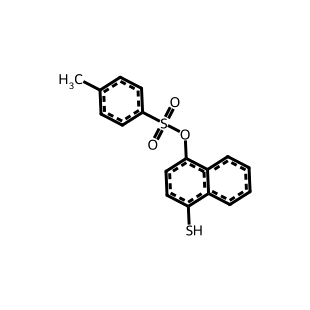 Cc1ccc(S(=O)(=O)Oc2ccc(S)c3ccccc23)cc1